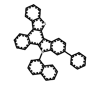 c1ccc(-c2ccc3c4c5sc6ccccc6c5c5ccccc5c4n(-c4cccc5ccccc45)c3c2)cc1